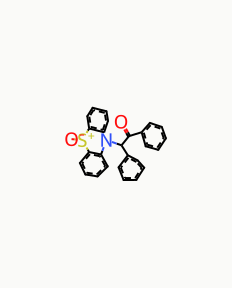 O=C(c1ccccc1)C(c1ccccc1)N1c2ccccc2[S+]([O-])c2ccccc21